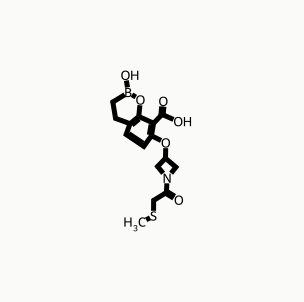 CSCC(=O)N1CC(Oc2ccc3c(c2C(=O)O)OB(O)CC3)C1